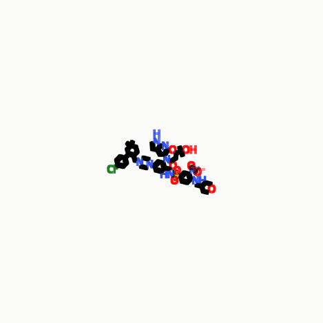 CC1(C)CCC(CN2CCN(c3ccc(C(=O)NS(=O)(=O)c4ccc(NCC5CCOCC5)c([N+](=O)[O-])c4)c(N4CCC(C(C)(C)O)Oc5nc6[nH]ccc6cc54)c3)CC2)=C(c2ccc(Cl)cc2)C1